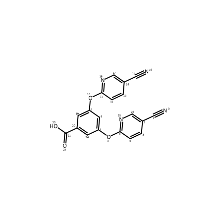 N#Cc1ccc(Oc2cc(Oc3ccc(C#N)cn3)cc(C(=O)O)c2)nc1